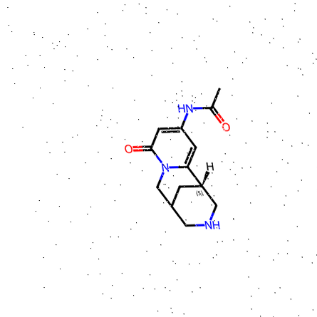 CC(=O)Nc1cc2n(c(=O)c1)CC1CNC[C@@H]2C1